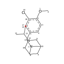 COc1ccc(CN2C3CC2CN(C(C)C)C3)cc1Cl